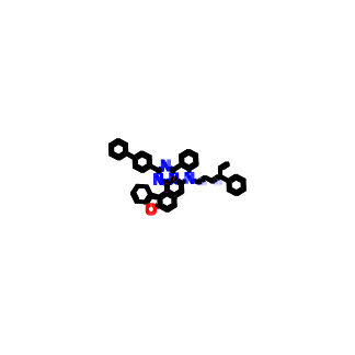 C=C/C(=C\C=C\N(c1ccccc1)c1ccccc1-c1nc(-c2ccc(-c3ccccc3)cc2)nc(-c2cccc3oc4c(c23)CCC=C4)n1)c1ccccc1